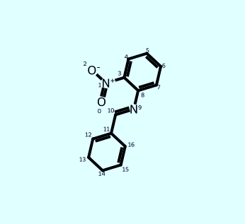 O=[N+]([O-])c1ccccc1/N=C/C1=CCCC=C1